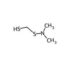 CN(C)SCS